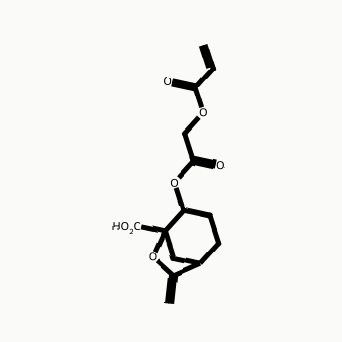 C=CC(=O)OCC(=O)OC1CCC2CC1(C(=O)O)OC2=C